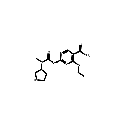 CCOc1nc(OC(=O)N(C)C2CCNC2)ncc1C(N)=O